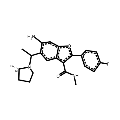 CNC(=O)c1c(-c2ccc(F)cc2)oc2cc(N)c(C(C)N3CCC[C@@H]3C)cc12